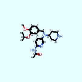 COc1ccc(CN(c2ccc(NC(C)=O)nc2)C2CCNCC2)cc1OC(C)C